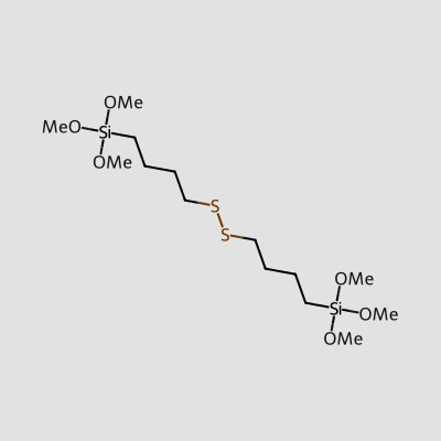 CO[Si](CCCCSSCCCC[Si](OC)(OC)OC)(OC)OC